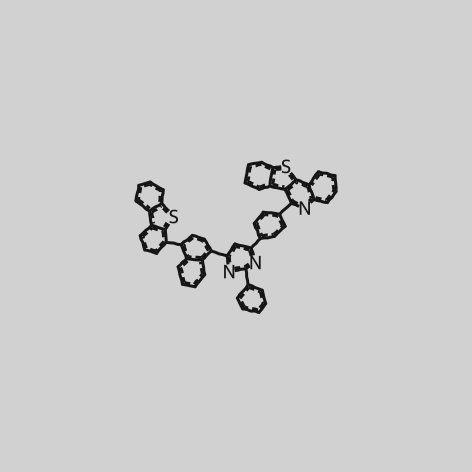 c1ccc(-c2nc(-c3ccc(-c4nc5ccccc5c5sc6ccccc6c45)cc3)cc(-c3ccc(-c4cccc5c4sc4ccccc45)c4ccccc34)n2)cc1